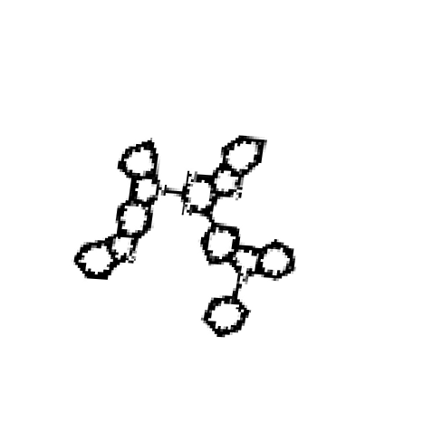 c1ccc(-n2c3ccccc3c3cc(-c4nc(-n5c6ccccc6c6cc7c(cc65)sc5ccccc57)nc5c4sc4ccccc45)ccc32)cc1